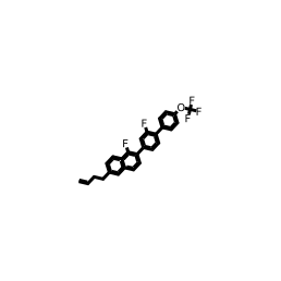 C=CCCc1ccc2c(F)c(-c3ccc(-c4ccc(OC(F)(F)F)cc4)c(F)c3)ccc2c1